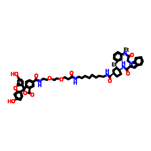 CCc1cccc(N(CC)C(=O)Cn2c(C(=O)N[C@H]3CC[C@H](C(=O)NCCCCCCCCNC(=O)CCOCCOCCNC(=O)c4ccc5c(c4)C(=O)OC54c5ccc(O)cc5Oc5cc(O)ccc54)CC3)cc3ccccc32)c1